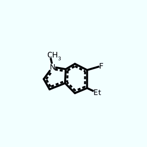 CCc1cc2ccn(C)c2cc1F